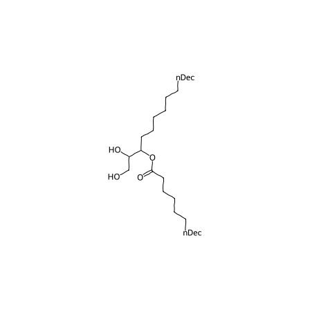 CCCCCCCCCCCCCCCCC(OC(=O)CCCCCCCCCCCCCCC)C(O)CO